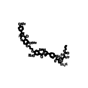 C=CCOC(=O)N[C@H](C(=O)NC(CCC(=O)O)C(=O)Nc1ccc(C2=CN3C(=O)c4cc(OC)c(OCCCOc5cc6c(cc5OC)C(=O)N5C=C(c7ccc(OC)cc7)C[C@H]5C=N6)cc4N=C[C@@H]3C2)cc1)C(C)C